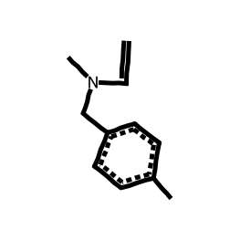 C=CN(C)Cc1ccc(C)cc1